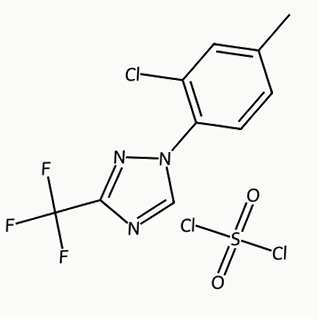 Cc1ccc(-n2cnc(C(F)(F)F)n2)c(Cl)c1.O=S(=O)(Cl)Cl